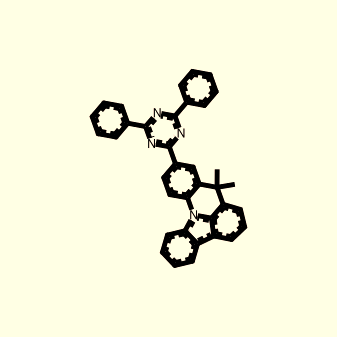 CC1(C)c2cc(-c3nc(-c4ccccc4)nc(-c4ccccc4)n3)ccc2-n2c3ccccc3c3cccc1c32